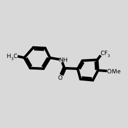 COc1ccc(C(=O)Nc2ccc(C)cc2)cc1C(F)(F)F